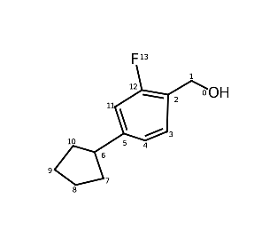 OCc1ccc(C2CCCC2)cc1F